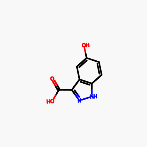 O=C(O)c1n[nH]c2ccc(O)cc12